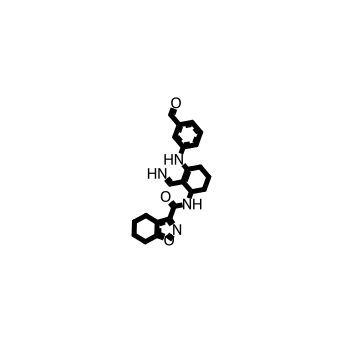 N=CC1=C(Nc2cccc(C=O)c2)CCCC1NC(=O)c1noc2c1CCCC2